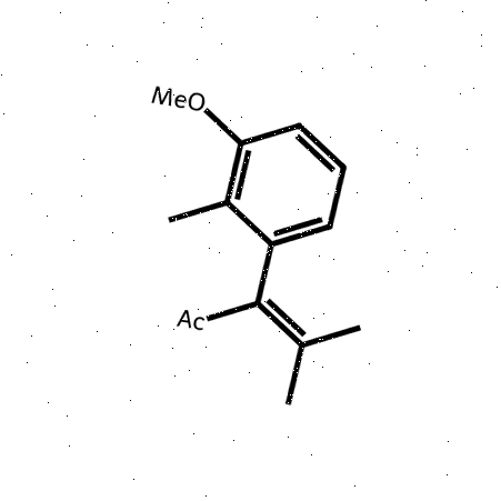 COc1cccc(C(C(C)=O)=C(C)C)c1C